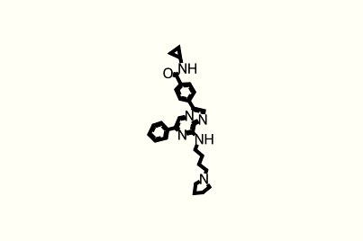 O=C(NC1CC1)c1ccc(-c2cnc3c(NCCCCN4CCCC4)nc(-c4ccccc4)cn23)cc1